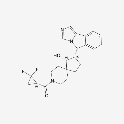 O=C([C@@H]1CC1(F)F)N1CCC2(CC[C@@H](C3c4ccccc4-c4cncn43)[C@H]2O)CC1